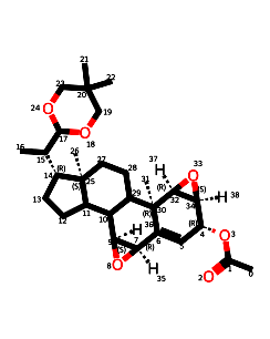 CC(=O)O[C@@H]1C=C2[C@H]3O[C@H]3C3C4CC[C@H](C(C)C5OCC(C)(C)CO5)[C@@]4(C)CCC3[C@@]2(C)[C@H]2O[C@@H]12